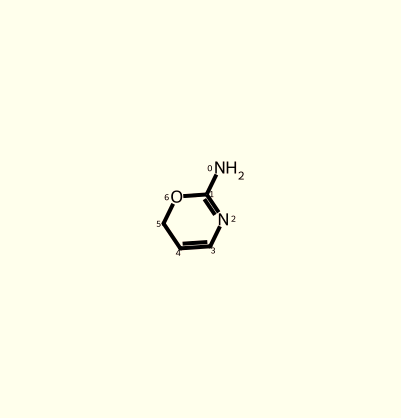 NC1=NC=CCO1